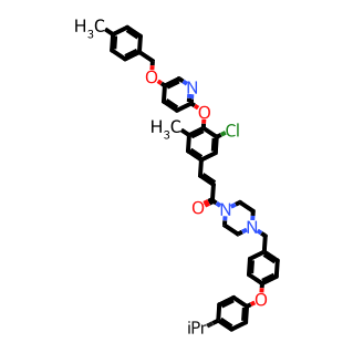 Cc1ccc(COc2ccc(Oc3c(C)cc(/C=C/C(=O)N4CCN(Cc5ccc(Oc6ccc(C(C)C)cc6)cc5)CC4)cc3Cl)nc2)cc1